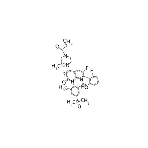 C=CC(=O)N1CCN(c2nc(=O)n(-c3c(C)cc(P(C)(C)=O)cc3CC)c3nc(-c4c(O)cccc4F)c(F)cc23)[C@@H](C)C1